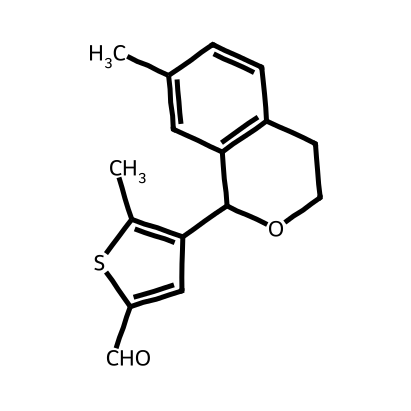 Cc1ccc2c(c1)C(c1cc(C=O)sc1C)OCC2